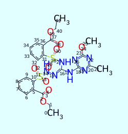 CCOC(=O)c1ccccc1S(=O)(=O)NN=C(Nc1nc(C)nc(OC)n1)NS(=O)(=O)c1ccccc1C(=O)OCC